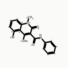 CC(=O)Oc1c(C(=O)Nc2ccccc2)c(=O)n(C)c2cccc(Br)c12